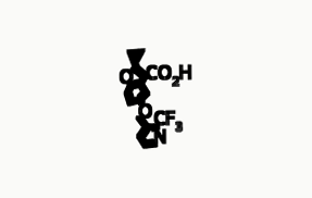 O=C(O)c1c(C2CC2)oc2ccc(OCc3cccnc3C(F)(F)F)cc12